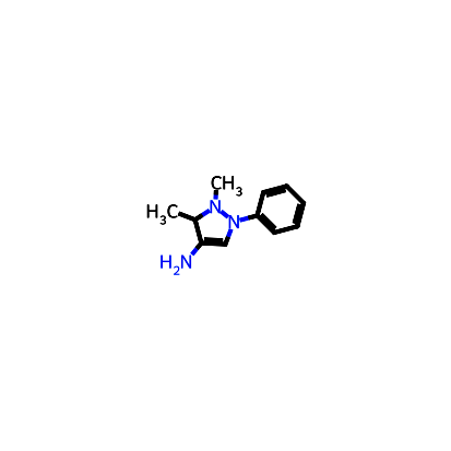 CC1C(N)=CN(c2ccccc2)N1C